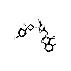 Cc1ccnc2ncn(Cc3nn([C@H]4C[C@](F)(c5ccc(F)cc5)C4)c(=O)o3)c(=O)c12